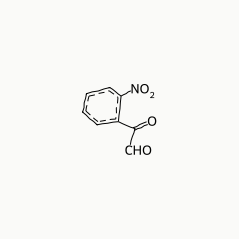 O=CC(=O)c1ccccc1[N+](=O)[O-]